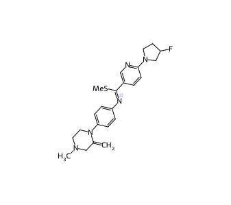 C=C1CN(C)CCN1c1ccc(/N=C(\SC)c2ccc(N3CCC(F)C3)nc2)cc1